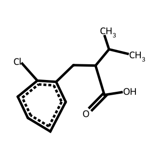 CC(C)C(Cc1ccccc1Cl)C(=O)O